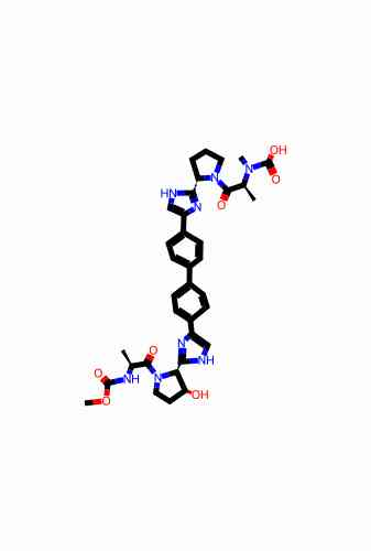 COC(=O)N[C@@H](C)C(=O)N1CC[C@H](O)[C@H]1c1nc(-c2ccc(-c3ccc(-c4c[nH]c([C@@H]5CCCN5C(=O)[C@H](C)N(C)C(=O)O)n4)cc3)cc2)c[nH]1